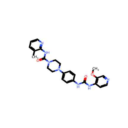 COc1cnccc1NC(=O)Nc1ccc(N2CCN(C(=O)Nc3ncccc3C)CC2)cc1